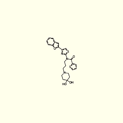 O=C(c1cccs1)N(CCCN1CCC(O)(O)CC1)c1nc(-c2cc3ccccc3o2)cs1